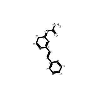 NC(=S)N=C1C=C(C=Cc2ccccc2)C=CC1